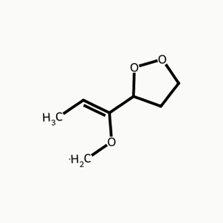 [CH2]OC(=CC)C1CCOO1